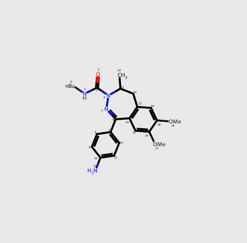 CCCCNC(=O)N1N=C(c2ccc(N)cc2)c2cc(OC)c(OC)cc2CC1C